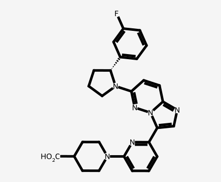 O=C(O)C1CCN(c2cccc(-c3cnc4ccc(N5CCC[C@@H]5c5cccc(F)c5)nn34)n2)CC1